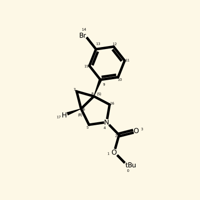 CC(C)(C)OC(=O)N1C[C@@H]2C[C@]2(c2cccc(Br)c2)C1